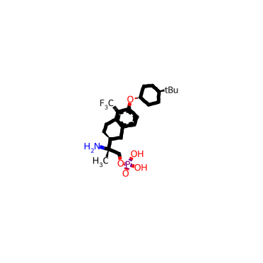 CC(C)(C)[C@H]1CC[C@H](Oc2ccc3c(c2C(F)(F)F)CC[C@H]([C@@](C)(N)COP(=O)(O)O)C3)CC1